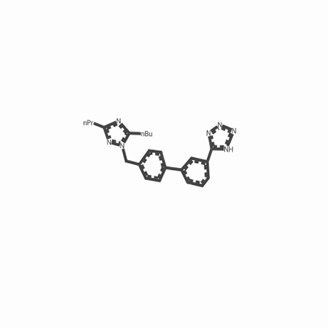 CCCCc1nc(CCC)nn1Cc1ccc(-c2cccc(-c3nnn[nH]3)c2)cc1